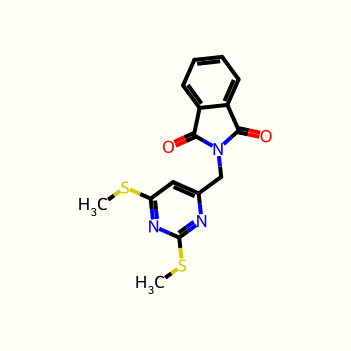 CSc1cc(CN2C(=O)c3ccccc3C2=O)nc(SC)n1